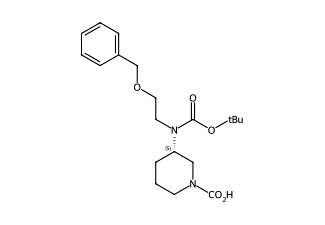 CC(C)(C)OC(=O)N(CCOCc1ccccc1)[C@H]1CCCN(C(=O)O)C1